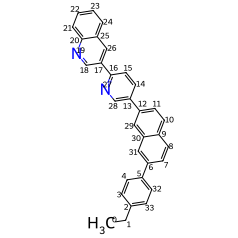 CCc1ccc(-c2ccc3ccc(-c4ccc(-c5cnc6ccccc6c5)nc4)cc3c2)cc1